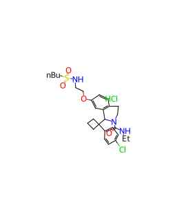 CCCCS(=O)(=O)NCCOc1ccc2c(c1)C(C1(c3ccc(Cl)cc3)CCC1)N(C(=O)NCC)CC2.Cl